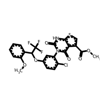 COC(=O)c1csc2[nH]c(=O)n(-c3cc(OC(c4ccccc4OC)C(F)(F)F)ccc3Cl)c(=O)c12